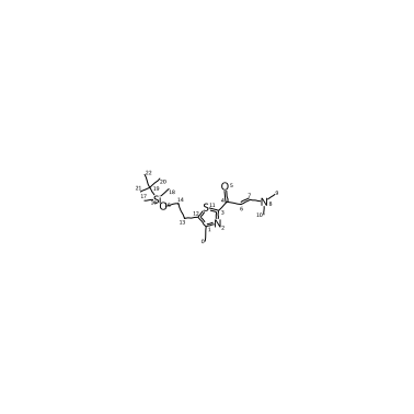 Cc1nc(C(=O)C=CN(C)C)sc1CCO[Si](C)(C)C(C)(C)C